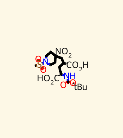 CC(C)(C)OC(=O)N[C@@H](CC(CC1([N+](=O)[O-])CCN(S(C)(=O)=O)CC1)C(=O)O)C(=O)O